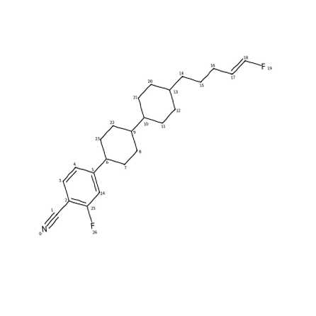 N#Cc1ccc(C2CCC(C3CCC(CCCC=CF)CC3)CC2)cc1F